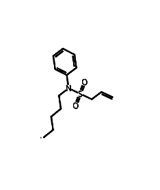 [CH2]CCCCN(c1ccccc1)S(=O)(=O)CC=C